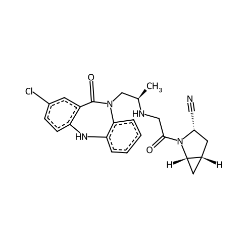 C[C@H](CN1C(=O)c2cc(Cl)ccc2Nc2ccccc21)NCC(=O)N1[C@H](C#N)C[C@@H]2C[C@@H]21